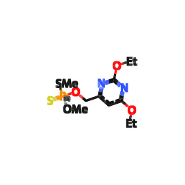 CCOc1cc(CO[P@](=S)(OC)SC)nc(OCC)n1